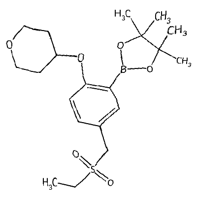 CCS(=O)(=O)Cc1ccc(OC2CCOCC2)c(B2OC(C)(C)C(C)(C)O2)c1